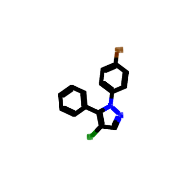 Sc1ccc(-n2ncc(Cl)c2-c2ccccc2)cc1